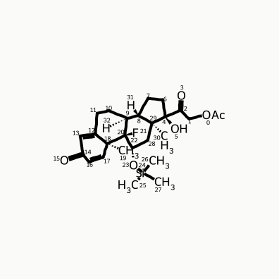 CC(=O)OCC(=O)[C@@]1(O)CC[C@H]2[C@@H]3CCC4=CC(=O)C=C[C@]4(C)[C@@]3(F)[C@@H](O[Si](C)(C)C)C[C@@]21C